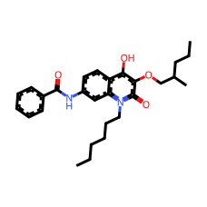 CCCCCCn1c(=O)c(OCC(C)CCC)c(O)c2ccc(NC(=O)c3ccccc3)cc21